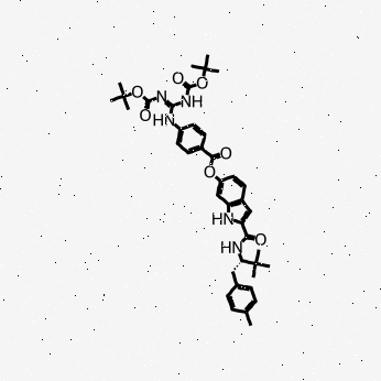 Cc1ccc(C[C@H](NC(=O)c2cc3ccc(OC(=O)c4ccc(N/C(=N\C(=O)OC(C)(C)C)NC(=O)OC(C)(C)C)cc4)cc3[nH]2)C(C)(C)C)cc1